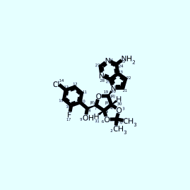 CC1(C)O[C@@H]2[C@H](O1)[C@@H](C(O)c1ccc(Cl)cc1F)O[C@H]2n1ccc2c(N)ncnc21